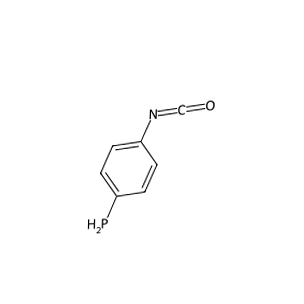 O=C=Nc1ccc(P)cc1